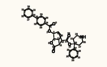 O=C(OC1C2CC3C1OC(=O)C3C2C(=O)OC1(c2ccccc2)CCNCC1)c1ccc(-c2ccccc2)cc1